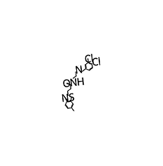 Cc1ccc2nc(CCC(=O)NCCCN(C)Cc3ccc(Cl)c(Cl)c3)sc2c1